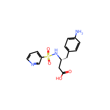 Nc1ccc(C[C@H](CC(=O)O)NS(=O)(=O)c2cccnc2)cc1